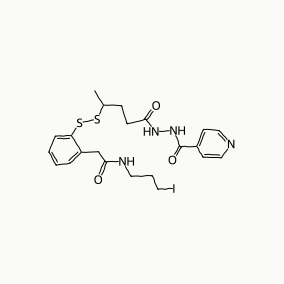 CC(CCC(=O)NNC(=O)c1ccncc1)SSc1ccccc1CC(=O)NCCCI